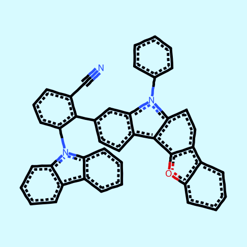 N#Cc1cccc(-n2c3ccccc3c3ccccc32)c1-c1ccc2c3c4oc5ccccc5c4ccc3n(-c3ccccc3)c2c1